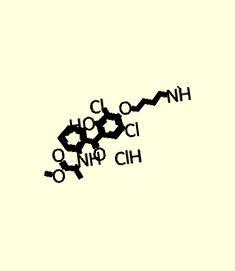 CNCCCCOc1c(Cl)cc(C(=O)c2ccccc2NC(C)C(=O)OC)c(O)c1Cl.Cl